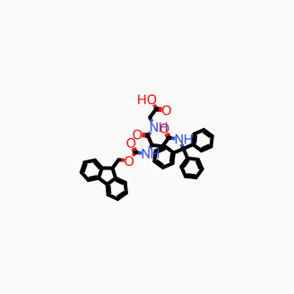 O=C(O)CNC(=O)C(CC(=O)NC(c1ccccc1)(c1ccccc1)c1ccccc1)NC(=O)OCC1c2ccccc2-c2ccccc21